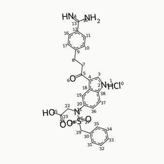 Cl.Cn1cc(C(=O)CCc2ccc(C(=N)N)cc2)c2cc(N(CC(=O)O)S(=O)(=O)Cc3ccccc3)ccc21